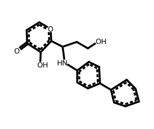 O=c1ccoc(C(CCO)Nc2ccc(-c3ccccc3)cc2)c1O